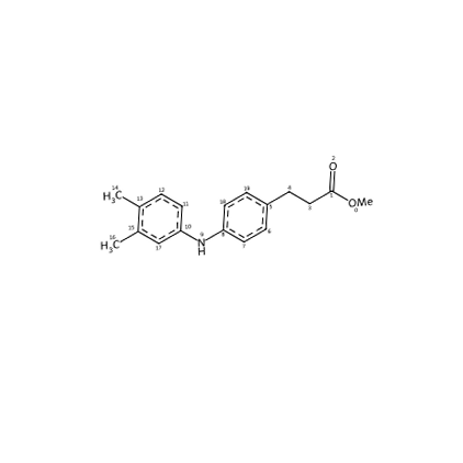 COC(=O)CCc1ccc(Nc2ccc(C)c(C)c2)cc1